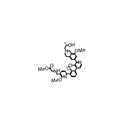 COC(=O)CNCc1ccc(-c2cccc(-c3ccnc(-c4cc5c(c(OC)c4)CN(C[C@@H](C)O)CC5)c3Cl)c2Cl)nc1OC